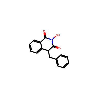 O=C1c2ccccc2C(Cc2ccccc2)C(=O)N1O